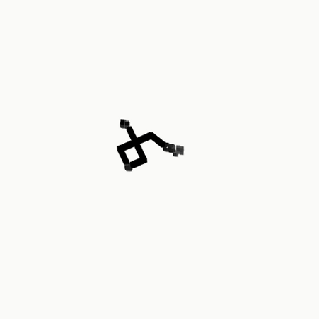 CCC1(CC(=O)O)COC1